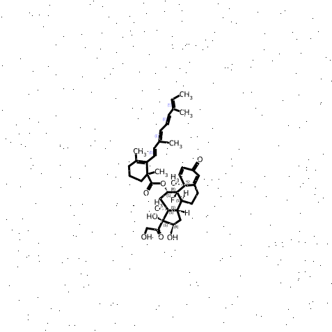 C/C=C(C)/C=C/C=C(C)/C=C/C1=C(C)CCCC1(C)C(=O)O[C@H]1C[C@@]2(C)[C@@H](C[C@@H](O)[C@]2(O)C(=O)CO)[C@@H]2CCC3=CC(=O)C=C[C@]3(C)[C@@]12F